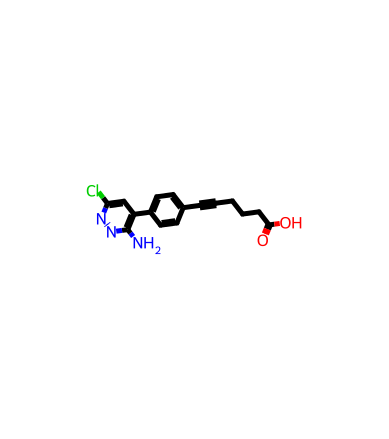 Nc1nnc(Cl)cc1-c1ccc(C#CCCCC(=O)O)cc1